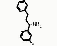 N[C@@H](CCc1ccccc1)c1[c]ccc(F)c1